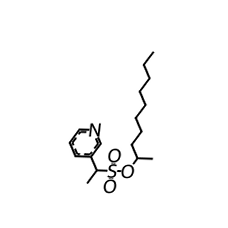 CCCCCCCCC(C)OS(=O)(=O)C(C)c1cccnc1